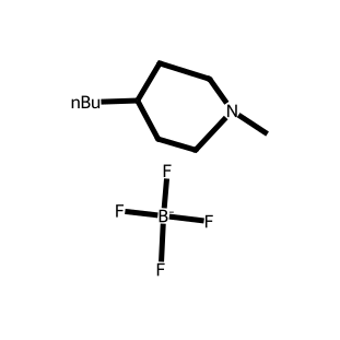 CCCCC1CCN(C)CC1.F[B-](F)(F)F